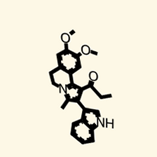 CCC(=O)c1c(-c2c[nH]c3ccccc23)c(C)n2c1-c1cc(OC)c(OC)cc1CC2